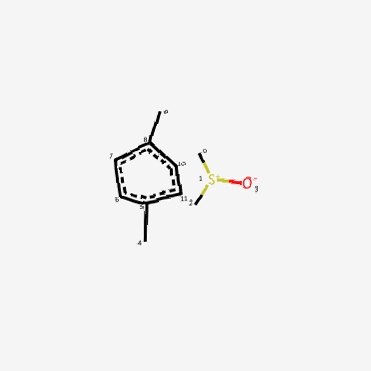 C[S+](C)[O-].Cc1ccc(C)cc1